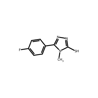 Cn1c(S)nnc1-c1ccc(F)cc1